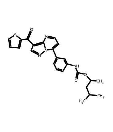 CC(C)CC(C)OC(=O)Nc1cccc(-c2ccnc3c(C(=O)c4cccs4)cnn23)c1